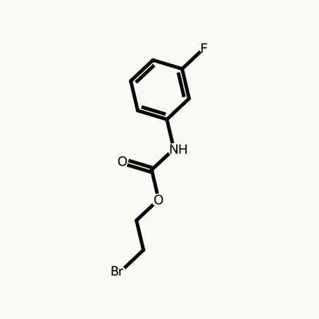 O=C(Nc1cccc(F)c1)OCCBr